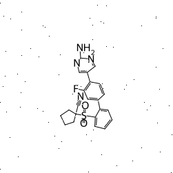 N#CC1(S(=O)(=O)c2ccccc2-c2ccc(-c3cnc(N)nc3)c(F)c2)CCCC1